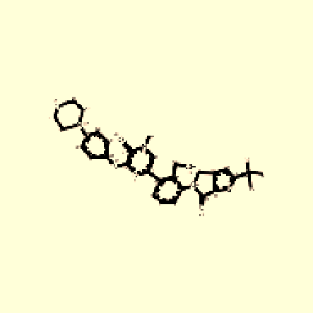 Cn1cc(-c2cccc(N3Cc4cc(C(C)(C)C)sc4C3=O)c2CO)nc(Nc2ccc(N3CCOCC3)cc2)c1=O